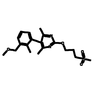 COCc1cccc(-c2c(C)nc(OCCCS(C)(=O)=O)nc2C)c1C